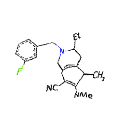 CCC1CC2=C(CN1Cc1cccc(F)c1)C(C#N)=C(NC)C2C